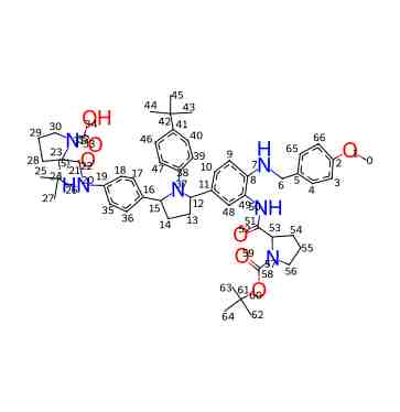 COc1ccc(CNc2ccc(C3CCC(c4ccc(NC(=O)[C@@]5(C(C)(C)C)CCCN5C(=O)O)cc4)N3c3ccc(C(C)(C)C)cc3)cc2NC(=O)C2CCCN2C(=O)OC(C)(C)C)cc1